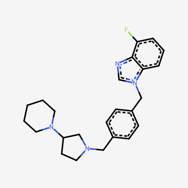 Fc1cccc2c1ncn2Cc1ccc(CN2CCC(N3CCCCC3)C2)cc1